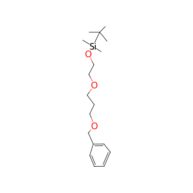 CC(C)(C)[Si](C)(C)OCCOCCCOCc1ccccc1